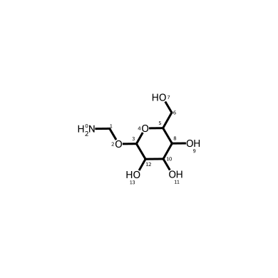 NCOC1OC(CO)C(O)C(O)C1O